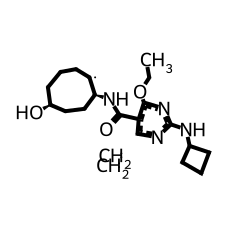 CCOc1nc(NC2CCC2)ncc1C(=O)N[C@@H]1[CH]CCC[C@H](O)CC1.[CH2].[CH2]